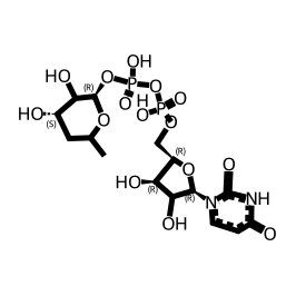 CC1C[C@H](O)C(O)[C@@H](OP(=O)(O)OP(=O)(O)OC[C@H]2O[C@@H](n3ccc(=O)[nH]c3=O)C(O)[C@H]2O)O1